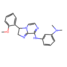 COc1ccccc1C1CN=C2C(Nc3cccc(N(C)C)c3)=NC=CN21